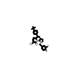 CC(C)(C)c1ccc(/C(=C/[C@H]2CCN(Cc3ccc(F)c(F)c3)C2)c2ccc(Cl)c(=O)[nH]2)cc1